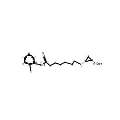 CCCCCCCC[C@H]1C[C@H]1CCCCCCCC(=O)Nc1ccccc1C